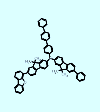 CC1(C)c2cc(-c3ccccc3)ccc2-c2ccc(N(c3ccc(-c4ccc(-c5ccccc5)cc4)cc3)c3ccc4c(c3)C(C)(C)c3cc(-c5cccc6c5oc5ccccc56)ccc3-4)cc21